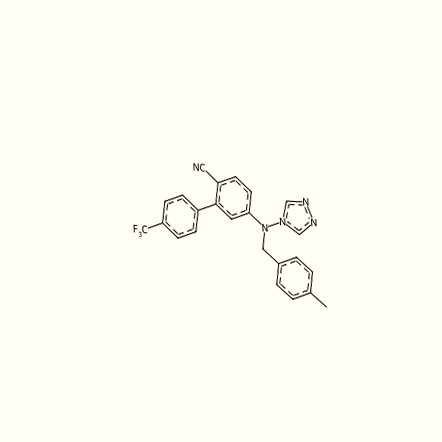 Cc1ccc(CN(c2ccc(C#N)c(-c3ccc(C(F)(F)F)cc3)c2)n2cnnc2)cc1